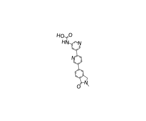 CN1Cc2cc(-c3ccc(-c4cncc(NC(=O)O)c4)nc3)ccc2C1=O